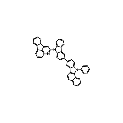 c1ccc(-n2c3ccc(-c4ccc5c(c4)c4ccccc4n5-c4cc5c6c(cccc6n4)-c4ccccc4-5)cc3c3ccc4ccccc4c32)cc1